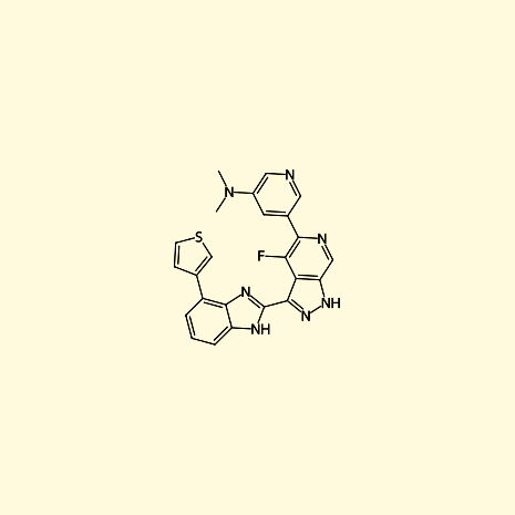 CN(C)c1cncc(-c2ncc3[nH]nc(-c4nc5c(-c6ccsc6)cccc5[nH]4)c3c2F)c1